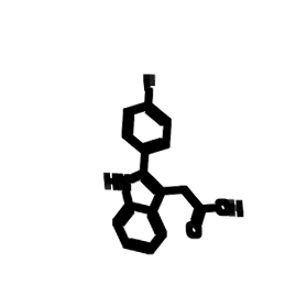 O=C(O)Cc1c(-c2ccc(F)cc2)[nH]c2ccccc12